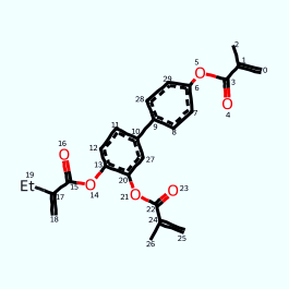 C=C(C)C(=O)Oc1ccc(-c2ccc(OC(=O)C(=C)CC)c(OC(=O)C(=C)C)c2)cc1